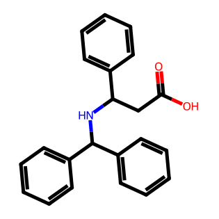 O=C(O)CC(NC(c1ccccc1)c1ccccc1)c1ccccc1